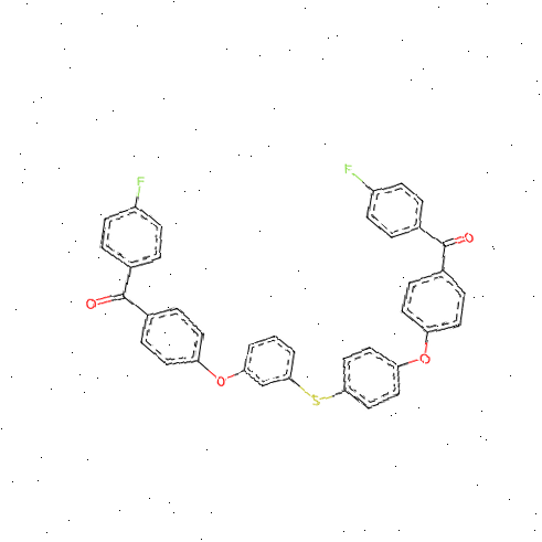 O=C(c1ccc(F)cc1)c1ccc(Oc2ccc(Sc3cccc(Oc4ccc(C(=O)c5ccc(F)cc5)cc4)c3)cc2)cc1